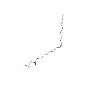 CCCCCCCC/C=C\CCCCCCCC(=O)CC(N)=O